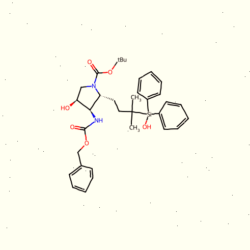 CC(C)(C)OC(=O)N1C[C@H](O)[C@H](NC(=O)OCc2ccccc2)[C@H]1CCC(C)(C)[Si](O)(c1ccccc1)c1ccccc1